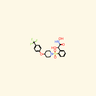 O=C(NO)C(O)c1ccccc1S(=O)(=O)N1CCC(Oc2ccc(C(F)(F)F)cc2)CC1